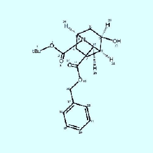 CC(C)(C)OC(=O)N1[C@H]2CC[C@H]([C@H](O)C2)[C@H]1C(=O)OCc1ccccc1